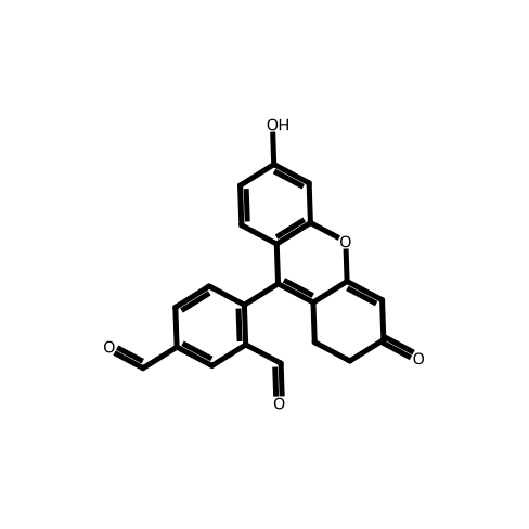 O=Cc1ccc(C2=C3CCC(=O)C=C3Oc3cc(O)ccc32)c(C=O)c1